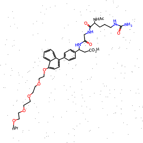 CCCOCCOCCOCCOCCOc1ccc(-c2ccc(C(CC(=O)O)NC(=O)CNC(=O)C(CCCNC(N)=O)NC(C)=O)cc2)c2ccccc12